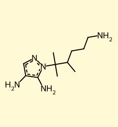 CC(CCCN)C(C)(C)n1ncc(N)c1N